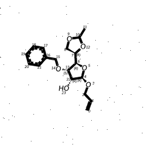 C=CCO[C@@H]1O[C@H]([C@H]2COC(C)O2)[C@@H](OCc2ccccc2)[C@H]1O